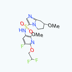 COc1nc(OCC(F)F)c(F)cc1NS(=O)(=O)c1cnc2n1CCC(OC)C2